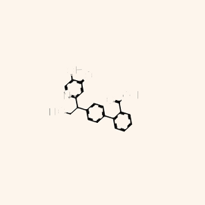 O=C(O)c1ccccc1-c1ccc(C(CO)c2cc(=O)c(O)c[nH]2)cc1